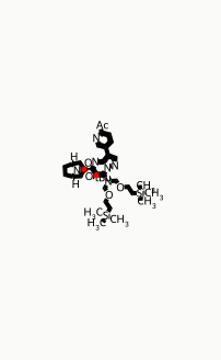 CC(=O)c1ccc(-c2cnn3c(N(COCC[Si](C)(C)C)COCC[Si](C)(C)C)cc([C@H]4C[C@H]5CC[C@@H](C4)N5C(=O)OC(C)(C)C)nc23)cn1